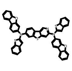 c1ccc2sc(N(c3ccc4c(c3)oc3ccccc34)c3ccc4c(c3)sc3cc(N(c5ccc6c(c5)oc5ccccc56)c5cc6ccccc6s5)ncc34)cc2c1